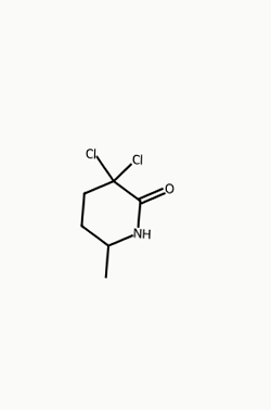 CC1CCC(Cl)(Cl)C(=O)N1